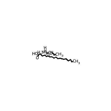 CCCC.CCCCCCCCCCCCCCCCCC(=O)O.CCNN